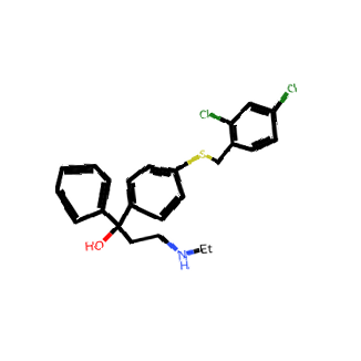 CCNCCC(O)(c1ccccc1)c1ccc(SCc2ccc(Cl)cc2Cl)cc1